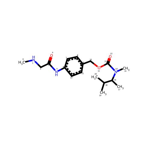 CNCC(=O)Nc1ccc(COC(=O)N(C)C(C)C(C)C)cc1